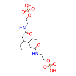 CCC(CC(=O)NCCOS(=O)(=O)O)C(CC)CC(=O)NCCOS(=O)(=O)O